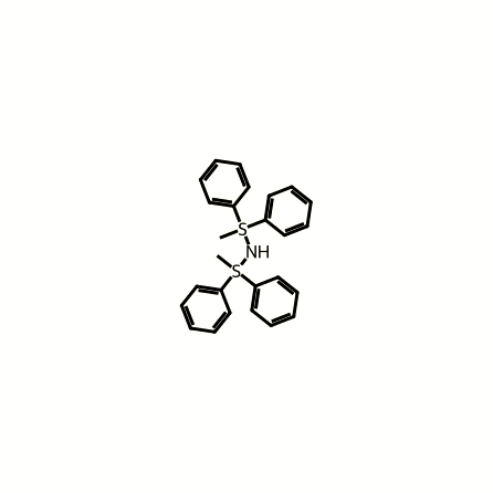 CS(NS(C)(c1ccccc1)c1ccccc1)(c1ccccc1)c1ccccc1